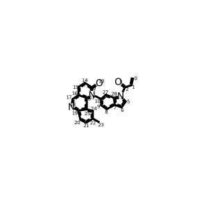 C=CC(=O)n1ccc2ccc(-n3c(=O)ccc4cnc5ccc(C)cc5c43)cc21